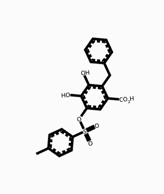 Cc1ccc(S(=O)(=O)Oc2cc(C(=O)O)c(Cc3ccccc3)c(O)c2O)cc1